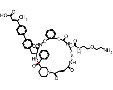 C/C(=C\C(=O)O)c1ccc(-c2ccc(C[C@@H]3NC(=O)[C@]4(Cc5ccccc5)CCCN(C4)C(=O)/C=C/C(=O)NCC[C@@H](C(=O)NCCOCCN)NC(=O)Cc4ccccc4CNC3=O)cc2)cc1